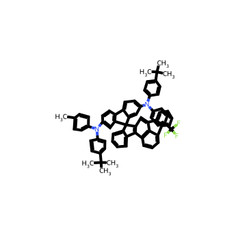 Cc1ccc(N(c2ccc(C(C)(C)C)cc2)c2ccc3c(c2)C2(c4cc(N(c5ccc(C(C)(C)C)cc5)c5ccc(C(F)(F)F)cc5)ccc4-3)c3ccccc3-c3c2cc2c4c(cccc34)-c3ccccc3-2)cc1